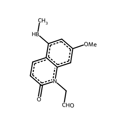 CBc1cc(OC)cc2c1ccc(=O)n2CC=O